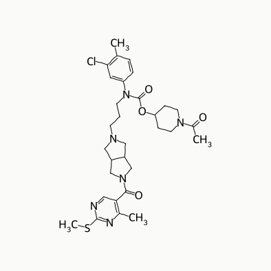 CSc1ncc(C(=O)N2CC3CN(CCCN(C(=O)OC4CCN(C(C)=O)CC4)c4ccc(C)c(Cl)c4)CC3C2)c(C)n1